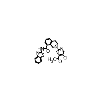 CC(=O)c1nc(N2CCc3cccc(C(=O)Nc4nc5ccccc5s4)c3C2)ncc1Cl